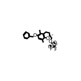 Cc1cc(OCc2ccccc2)c(C)c2c1O[C@](C)(COS(=O)(=O)C(F)(F)F)CC2